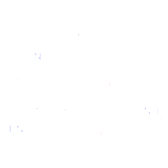 NC(=O)Oc1cc(N)cnc1Cl